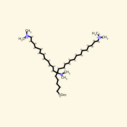 CCCCCCCCCCCCCCCC(CCCCCCCCCCCCCCN(C)C)(CCCCCCCCCCCCN(C)C)N(C)C